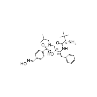 CC(C)CN(C[C@@H](O)[C@H](Cc1ccccc1)NC(=O)[C@@H](N)C(C)(C)C)S(=O)(=O)c1ccc(C=NO)cc1